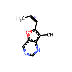 C/C=C\c1oc2cncnc2c1C